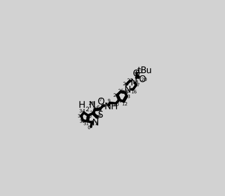 Cc1nc2sc(C(=O)NCCc3ccc(N4CCN(C(=O)OC(C)(C)C)CC4)cc3)c(N)c2c2c1CCC2